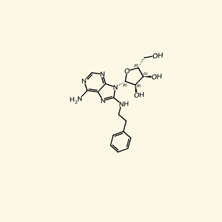 Nc1ncnc2c1nc(NCCc1ccccc1)n2[C@@H]1O[C@H](CO)[C@@H](O)[C@H]1O